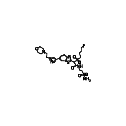 NS(=O)(=O)CCNC(=O)C(c1nc2ccc(-c3cnn(CCN4CCOCC4)c3)cc2s1)S(=O)(=O)CCCCF